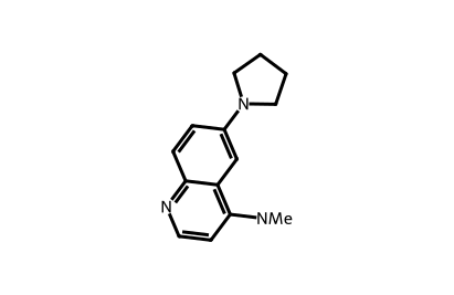 CNc1ccnc2ccc(N3CCCC3)cc12